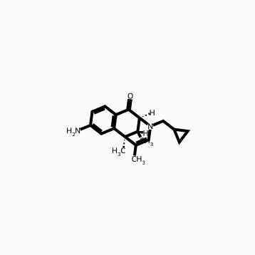 CC1=CN(CC2CC2)[C@@H]2C(=O)c3ccc(N)cc3[C@@]1(C)[C@H]2C